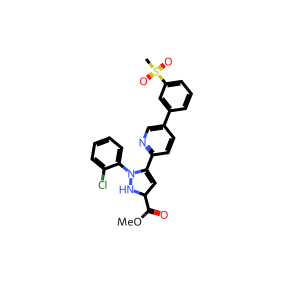 COC(=O)C1C=C(c2ccc(-c3cccc(S(C)(=O)=O)c3)cn2)N(c2ccccc2Cl)N1